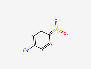 [NH]C1=CCC(=S(=O)=O)C=C1